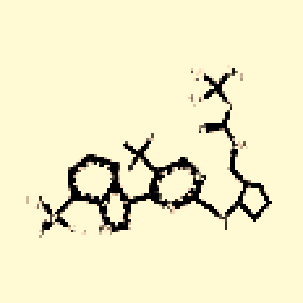 CC(C)(C)OC(=O)NCC1CCCC1Nc1ncc(C(F)(F)F)c(-c2c[nH]c3c(P(C)(C)=O)cccc23)n1